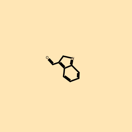 O=CC1=c2ccccc2=NC1